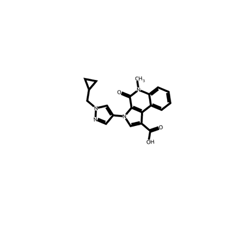 Cn1c(=O)c2c(c(C(=O)O)cn2-c2cnn(CC3CC3)c2)c2ccccc21